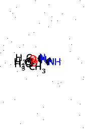 CC1(C)OB(c2cnn([C]3CNC3)c2)OC1(C)C